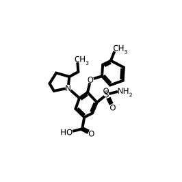 CCC1CCCN1c1cc(C(=O)O)cc(S(N)(=O)=O)c1Oc1cccc(C)c1